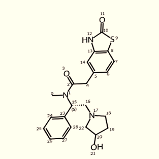 CN(C(=O)Cc1ccc2sc(=O)[nH]c2c1)[C@H](CN1CCC(O)C1)c1ccccc1